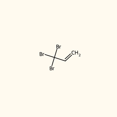 C=CC(Br)(Br)Br